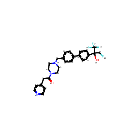 O=C(Cc1ccncc1)N1CCN(Cc2ccc(-c3ccc(C(O)(CF)C(F)(F)F)cc3)cc2)CC1